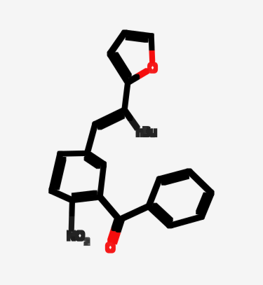 CCCCC(=Cc1ccc([N+](=O)[O-])c(C(=O)c2ccccc2)c1)c1ccco1